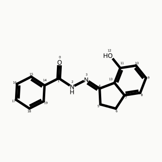 O=C(NN=C1CCc2cccc(O)c21)c1ccccc1